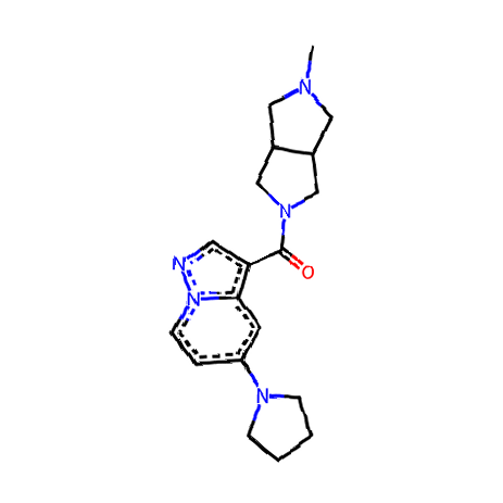 CN1CC2CN(C(=O)c3cnn4ccc(N5CCCC5)cc34)CC2C1